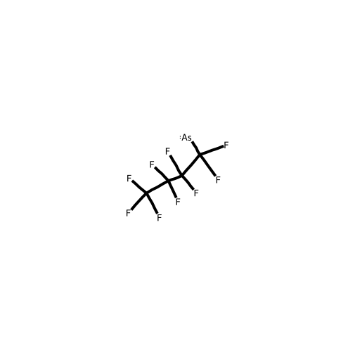 FC(F)(F)C(F)(F)C(F)(F)C(F)(F)[As]